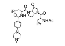 CC(=O)NC(CC(C)C)C(=O)N1CC(=O)C2C1CCN2C(=O)C(CC(C)C)NC(=O)c1ccc(N2CCN(C)CC2)cc1